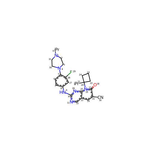 CC(C)N1CCN(c2ccc(Nc3ncc4cc(C#N)c(=O)n(C5(C(C)C)CCC5)c4n3)cc2F)CC1